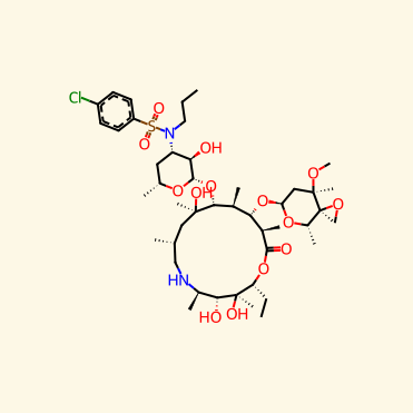 CCCN([C@H]1C[C@@H](C)O[C@@H](O[C@@H]2[C@@H](C)[C@H](O[C@H]3C[C@@](C)(OC)[C@]4(CO4)[C@H](C)O3)[C@@H](C)C(=O)O[C@H](CC)[C@@](C)(O)[C@H](O)[C@@H](C)NC[C@H](C)C[C@@]2(C)O)[C@@H]1O)S(=O)(=O)c1ccc(Cl)cc1